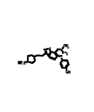 CN(C)Cc1c(Oc2ccc(C#N)cc2)ccc2c(CCC3CCN(C(=O)O)CC3)noc12